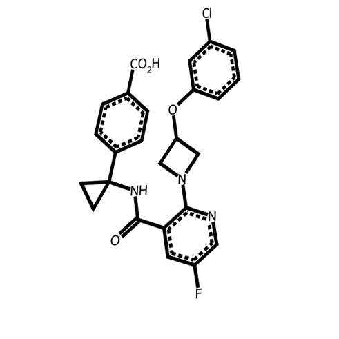 O=C(O)c1ccc(C2(NC(=O)c3cc(F)cnc3N3CC(Oc4cccc(Cl)c4)C3)CC2)cc1